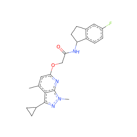 Cc1cc(OCC(=O)NC2CCc3cc(F)ccc32)nc2c1c(C1CC1)nn2C